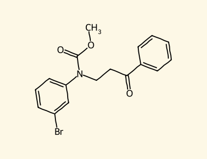 COC(=O)N(CCC(=O)c1ccccc1)c1cccc(Br)c1